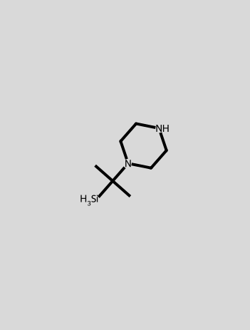 CC(C)([SiH3])N1CCNCC1